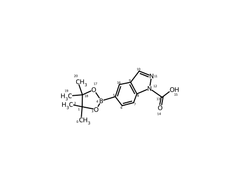 CC1(C)OB(c2ccc3c(cnn3C(=O)O)c2)OC1(C)C